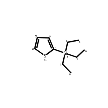 CC[Si](CC)(CC)c1c[c]cs1